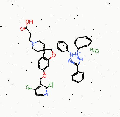 Cl.O=C(O)CCN1CCC2(CC1)COc1cc(OCc3c(Cl)ccnc3Cl)ccc12.[Cl-].c1ccc(-c2nn(-c3ccccc3)[n+](-c3ccccc3)n2)cc1